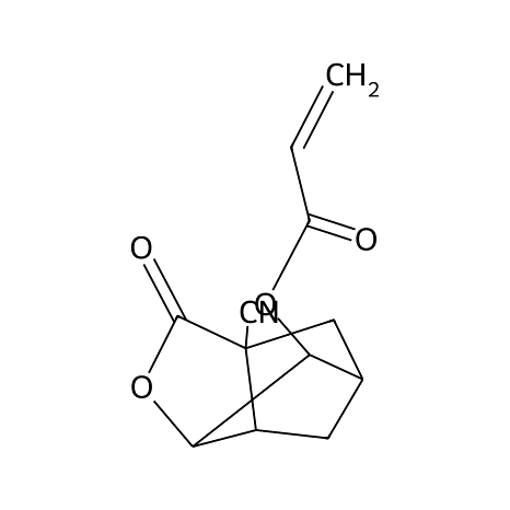 C=CC(=O)OC1C2CC3C1OC(=O)C3(C#N)C2